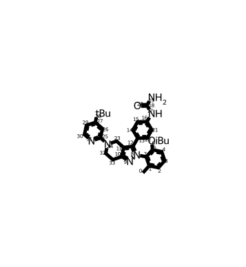 Cc1cccc(OCC(C)C)c1-n1nc2c(c1-c1ccc(NC(N)=O)cc1)CN(c1cc(C(C)(C)C)ccn1)CC2